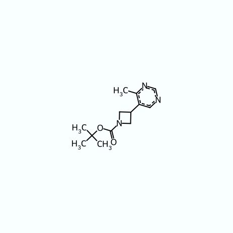 Cc1ncncc1C1CN(C(=O)OC(C)(C)C)C1